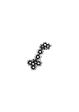 c1cnc2c(c1)ccc1ccc(-c3ccc(-c4ccc(-c5nc6c7ccccc7c7ccccc7c6c6ccccc56)cc4)cc3)nc12